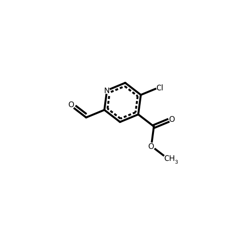 COC(=O)c1cc(C=O)ncc1Cl